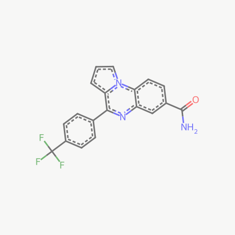 NC(=O)c1ccc2c(c1)nc(-c1ccc(C(F)(F)F)cc1)c1cccn12